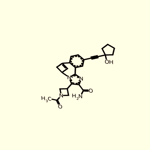 CC(=O)N1CC(c2c(C(N)=O)nc3n2C2C=C(C2)c2ccc(C#CC4(O)CCCC4)cc2-3)C1